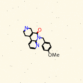 COc1ccc(Cn2c(=O)c3c(c4cccnc42)CC=NC3)cc1